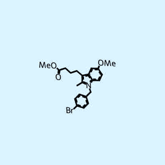 COC(=O)CCCc1c(C)n(Cc2ccc(Br)cc2)c2ccc(OC)cc12